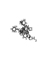 COc1ccccc1Oc1c(Cl)nc(-c2cccnc2)nc1NS(=O)(=O)C=Cc1ccccc1